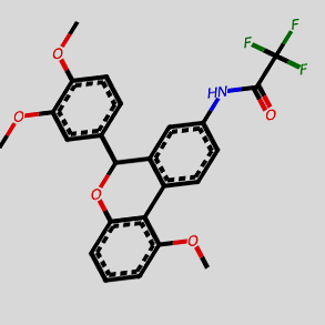 COc1ccc(C2Oc3cccc(OC)c3-c3ccc(NC(=O)C(F)(F)F)cc32)cc1OC